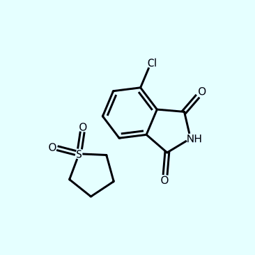 O=C1NC(=O)c2c(Cl)cccc21.O=S1(=O)CCCC1